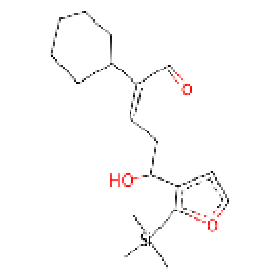 C[Si](C)(C)c1occc1C(O)CC=C(C=O)C1CCCCC1